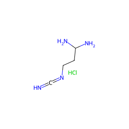 Cl.N=C=NCCC(N)N